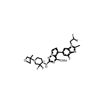 COc1nc(N[C@@H]2CCN(C3(C)COC3)CC2(F)F)nn2ccc(-c3cc(F)c4nc(C)n(CC(F)F)c4c3)c12